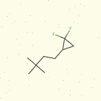 CC(C)(C)CCC1CC1(F)F